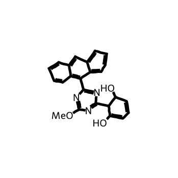 COc1nc(-c2c3ccccc3cc3ccccc23)nc(C2C(O)=CC=CC2O)n1